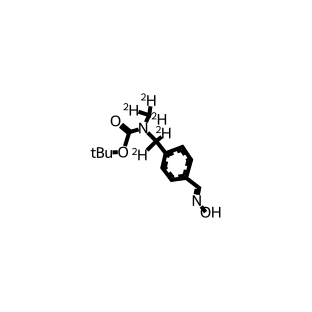 [2H]C([2H])([2H])N(C(=O)OC(C)(C)C)C([2H])([2H])c1ccc(C=NO)cc1